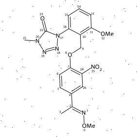 CON=C(C)c1ccc(OCc2c(OC)cccc2-n2nnn(C)c2=O)c([N+](=O)[O-])c1